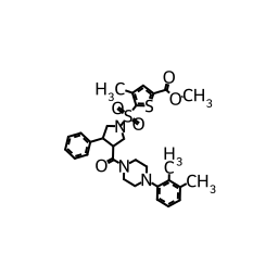 COC(=O)c1cc(C)c(S(=O)(=O)N2CC(C(=O)N3CCN(c4cccc(C)c4C)CC3)C(c3ccccc3)C2)s1